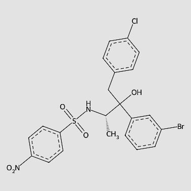 C[C@H](NS(=O)(=O)c1ccc([N+](=O)[O-])cc1)C(O)(Cc1ccc(Cl)cc1)c1cccc(Br)c1